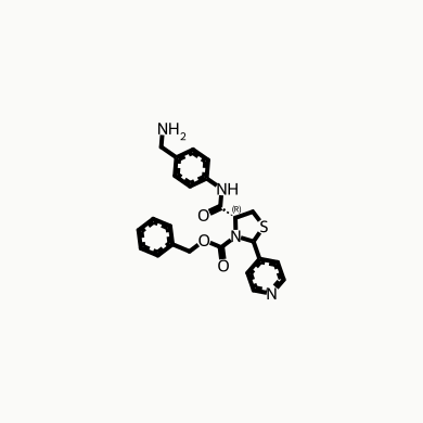 NCc1ccc(NC(=O)[C@@H]2CSC(c3ccncc3)N2C(=O)OCc2ccccc2)cc1